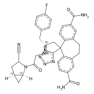 N#CC1C[C@@H]2C[C@@H]2N1C(=O)CN[C@H](Cc1ccc(F)cc1)CC1(c2nnn[nH]2)c2ccc(C(N)=O)cc2CCc2cc(C(N)=O)ccc21